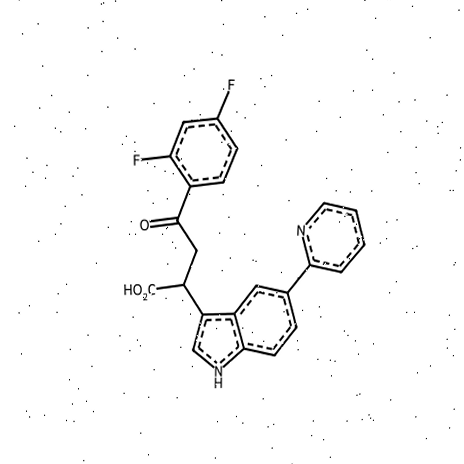 O=C(CC(C(=O)O)c1c[nH]c2ccc(-c3ccccn3)cc12)c1ccc(F)cc1F